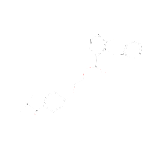 CC(C)(O)C(=O)c1ccc(OCCOC(=O)c2cccc3c2Cc2ccccc2S3)cc1